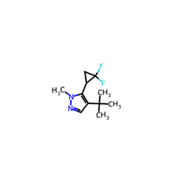 Cn1ncc(C(C)(C)C)c1C1CC1(F)F